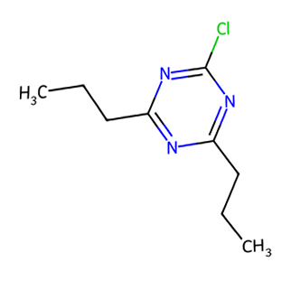 CCCc1nc(Cl)nc(CCC)n1